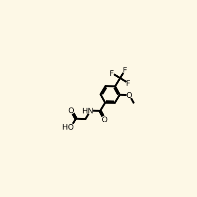 COc1cc(C(=O)NCC(=O)O)ccc1C(F)(F)F